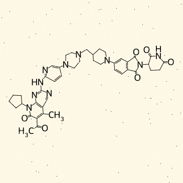 CC(=O)c1c(C)c2cnc(Nc3ccc(N4CCN(CC5CCN(c6ccc7c(c6)C(=O)N(C6CCC(=O)NC6=O)C7=O)CC5)CC4)cn3)nc2n(C2CCCC2)c1=O